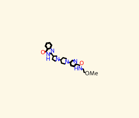 COCCNC(=O)c1ccc(N2CCC(N3CCC(c4nc5ccccc5c(=O)[nH]4)C3)CC2)cn1